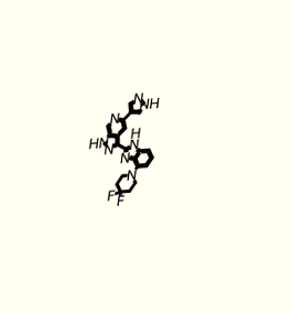 FC1(F)CCN(c2cccc3[nH]c(-c4n[nH]c5cnc(-c6cn[nH]c6)cc45)nc23)CC1